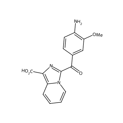 COc1cc(C(=O)c2nc(C(=O)O)c3ccccn23)ccc1N